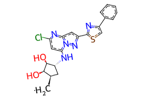 [CH2][C@@H]1C[C@@H](Nc2cc(Cl)nc3cc(-c4nc(-c5ccccc5)cs4)nn23)[C@H](O)[C@@H]1O